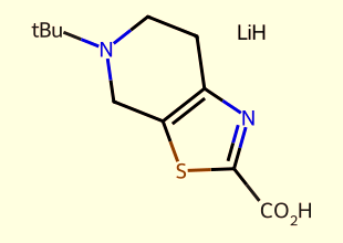 CC(C)(C)N1CCc2nc(C(=O)O)sc2C1.[LiH]